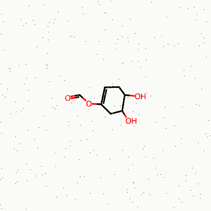 O=COC1=CCC(O)C(O)C1